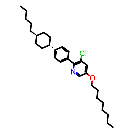 CCCCCCCCOc1cnc(-c2ccc([C@H]3CC[C@H](CCCCC)CC3)cc2)c(Cl)c1